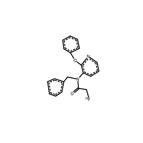 O=C(C[18F])N(Cc1ccccc1)c1cccnc1Oc1ccccc1